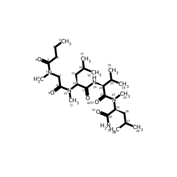 CCCC(=O)N(C)CC(=O)N(C)[C@@H](CC(C)C)C(=O)N[C@H](C(=O)N(C)[C@@H](CC(C)C)C(N)=O)C(C)C